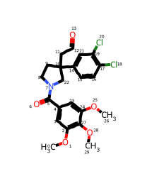 COc1cc(C(=O)N2CCC(CC=O)(c3ccc(Cl)c(Cl)c3)C2)cc(OC)c1OC